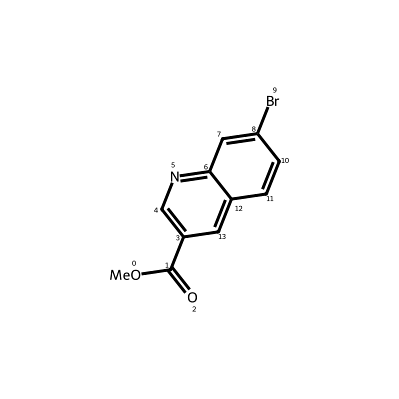 COC(=O)c1cnc2cc(Br)ccc2c1